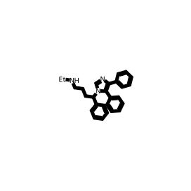 CCNCCCC(c1ccccc1)n1cnc(-c2ccccc2)c1-c1ccccc1